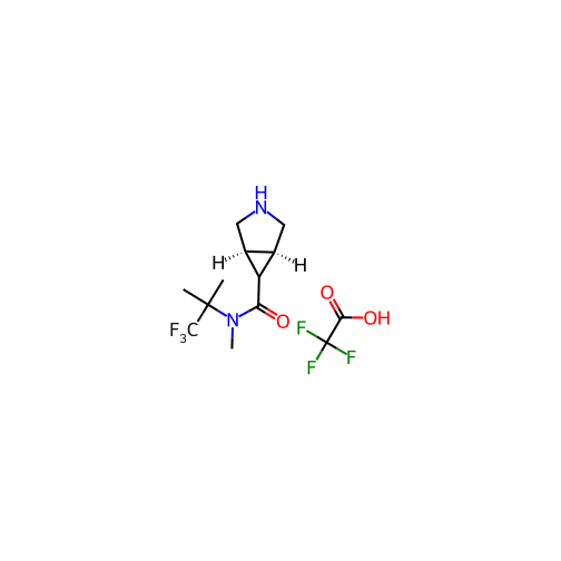 CN(C(=O)C1[C@H]2CNC[C@@H]12)C(C)(C)C(F)(F)F.O=C(O)C(F)(F)F